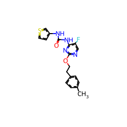 Cc1ccc(CCOc2ncc(F)c(NC(=O)Nc3ccsc3)n2)cc1